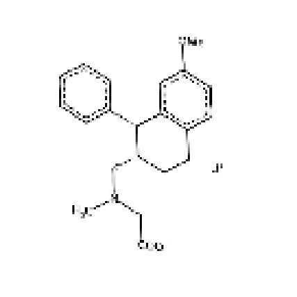 COc1ccc2c(c1)[C@@H](c1ccccc1)[C@@H](CN(C)CC(=O)[O-])CC2.[Li+]